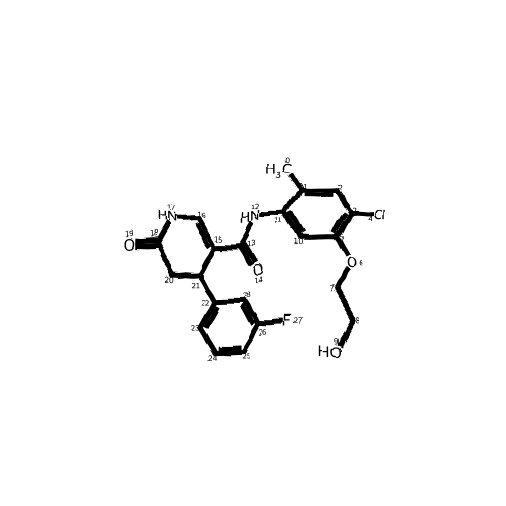 Cc1cc(Cl)c(OCCO)cc1NC(=O)C1=CNC(=O)CC1c1cccc(F)c1